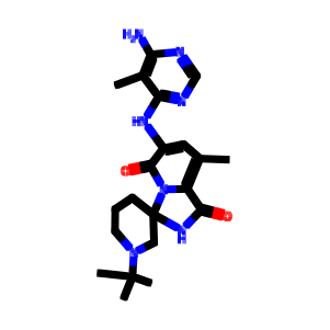 Cc1cc(Nc2ncnc(N)c2C)c(=O)n2c1C(=O)NC21CCCN(C(C)(C)C)C1